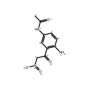 CC(=O)Nc1ccc(N)c(C(=O)C[N+](=O)[O-])c1